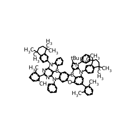 Cc1cccc(C)c1-c1cc2c3c(c1)N(c1ccc4c(c1)C(C)(C)CCC4(C)C)c1c(cc(C(C)(C)C)n1-c1ccccc1)B3c1cc3c(cc1O2)N(c1ccccc1)c1nc(-c2c(C)cccc2C)nc2c1B3c1ccccc1N2c1ccc2c(c1)C(C)(C)CCC2(C)C